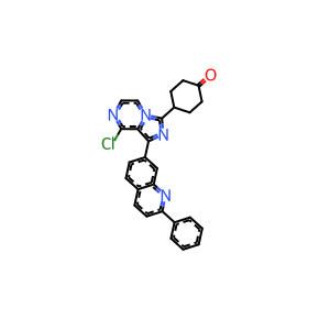 O=C1CCC(c2nc(-c3ccc4ccc(-c5ccccc5)nc4c3)c3c(Cl)nccn23)CC1